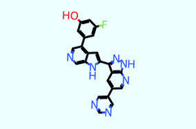 Oc1cc(F)cc(-c2cncc3[nH]c(-c4n[nH]c5ncc(-c6cncnc6)cc45)cc23)c1